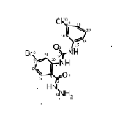 NNC(=O)c1ccc(Br)cc1NC(=O)Nc1cccc(Cl)c1